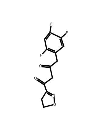 O=C(CC(=O)C1=NOCC1)Cc1cc(F)c(F)cc1F